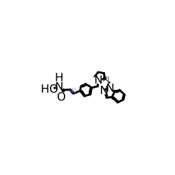 O=C(/C=C/c1ccc(CN2CCC[C@@H]2Cn2ncc3ccccc32)cc1)NO